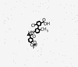 Cc1ccc(NC(=O)C2(c3ccc4c(c3)OC(F)(F)O4)CC2)cc1-c1cc(C(=O)O)ccc1Cl